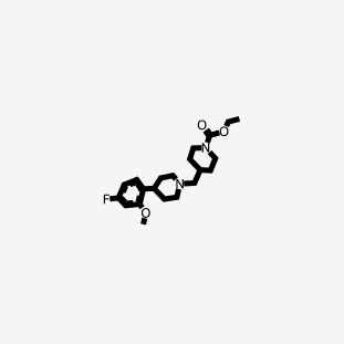 CCOC(=O)N1CCC(CN2CCC(c3ccc(F)cc3OC)CC2)CC1